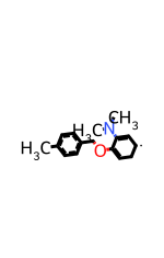 Cc1ccc(COC2=CC[CH]C=C2N(C)C)cc1